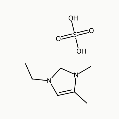 CCN1C=C(C)N(C)C1.O=S(=O)(O)O